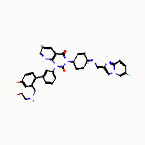 C[C@@H](CO)N(C)Cc1cc(O)ccc1-c1cccc(-n2c(=O)n(C3CCC(NCc4cn5cc(F)ccc5n4)CC3)c(=O)c3cc(F)cnc32)c1